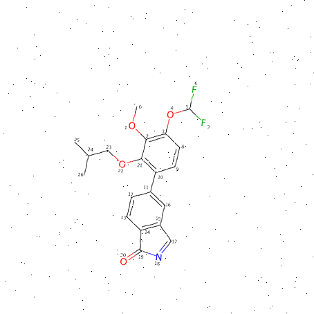 COc1c(OC(F)F)ccc(-c2ccc3c(c2)C=NC3=O)c1OCC(C)C